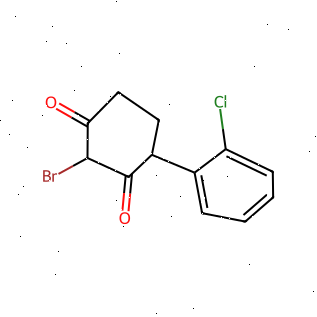 O=C1CCC(c2ccccc2Cl)C(=O)C1Br